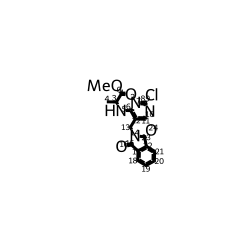 COC(=O)C(C)Nc1nc(Cl)ncc1CN1C(=O)c2ccccc2C1=O